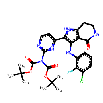 CC(C)(C)OC(=O)N(C(=O)OC(C)(C)C)c1nccc(-c2[nH]c3c(c2Nc2cccc(Cl)c2F)C(=O)NCC3)n1